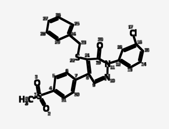 CS(=O)(=O)c1ccc(-c2cnn(-c3cccc(Cl)c3)c(=O)c2SCc2ccccc2)cc1